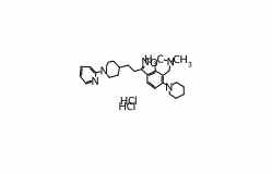 CN(C)Cc1c(N2CCCCC2)ccc2c(CCC3CCN(c4ccccn4)CC3)noc12.Cl.Cl